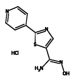 Cl.NC(=NO)c1cnc(-c2ccncc2)s1